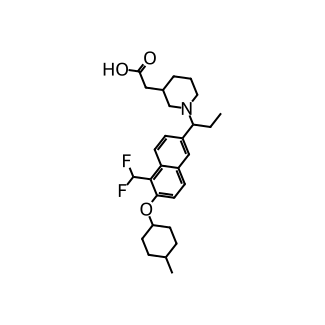 CCC(c1ccc2c(C(F)F)c(OC3CCC(C)CC3)ccc2c1)N1CCCC(CC(=O)O)C1